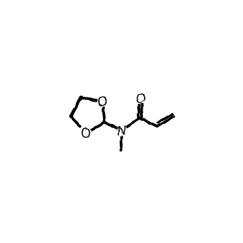 C=CC(=O)N(C)C1OCCO1